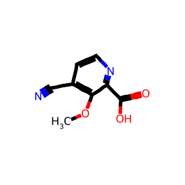 COc1c(C#N)ccnc1C(=O)O